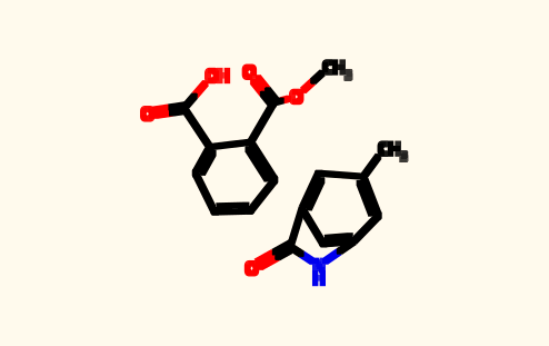 COC(=O)c1ccccc1C(=O)O.Cc1cc2cc(c1)C(=O)N2